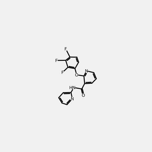 O=C(Nc1ccccn1)c1cccnc1Oc1ccc(F)c(F)c1F